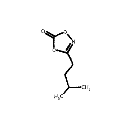 CC(C)CCc1noc(=O)o1